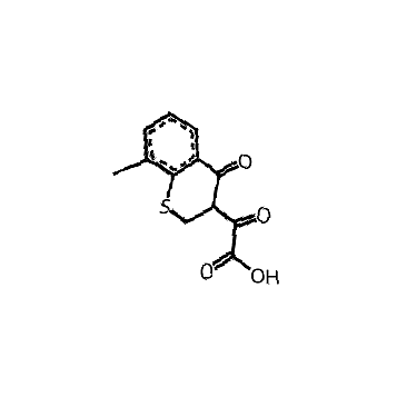 Cc1cccc2c1SCC(C(=O)C(=O)O)C2=O